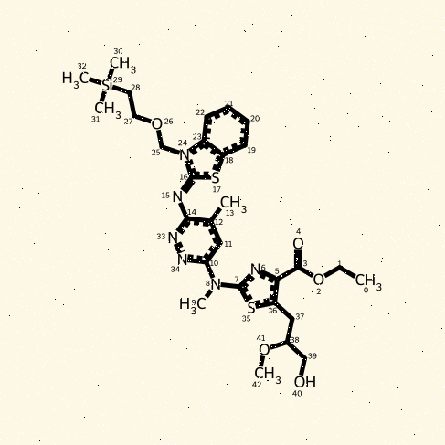 CCOC(=O)c1nc(N(C)c2cc(C)c(/N=c3\sc4ccccc4n3COCC[Si](C)(C)C)nn2)sc1CC(CO)OC